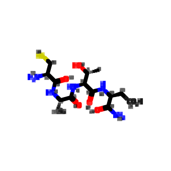 C[C@@H](O)[C@H](NC(=O)[C@@H](NC(=O)[C@@H](N)CS)C(C)(C)C)C(=O)N[C@@H](CC(=O)O)C(N)=O